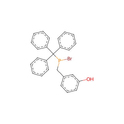 Oc1cccc(CP(Br)C(c2ccccc2)(c2ccccc2)c2ccccc2)c1